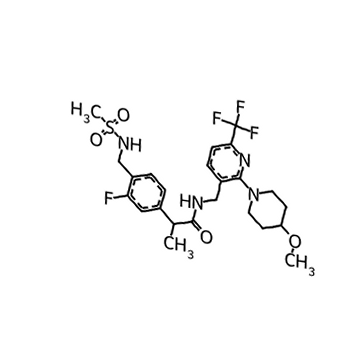 COC1CCN(c2nc(C(F)(F)F)ccc2CNC(=O)C(C)c2ccc(CNS(C)(=O)=O)c(F)c2)CC1